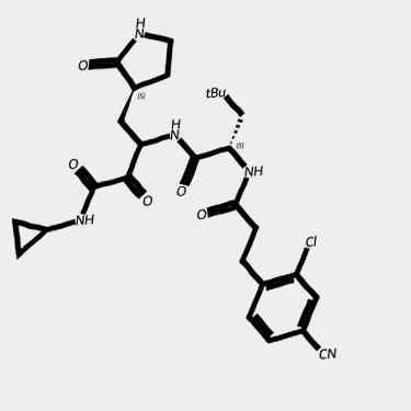 CC(C)(C)C[C@H](NC(=O)CCc1ccc(C#N)cc1Cl)C(=O)NC(C[C@@H]1CCNC1=O)C(=O)C(=O)NC1CC1